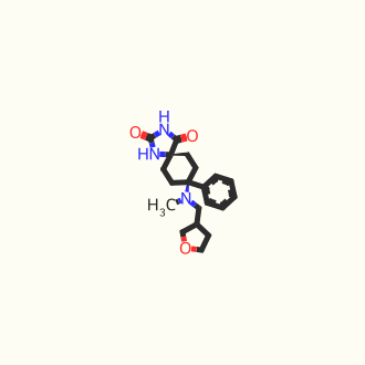 CN(CC1CCOC1)[C@]1(c2ccccc2)CC[C@@]2(CC1)NC(=O)NC2=O